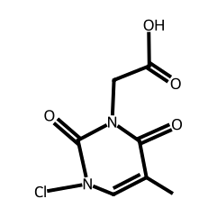 Cc1cn(Cl)c(=O)n(CC(=O)O)c1=O